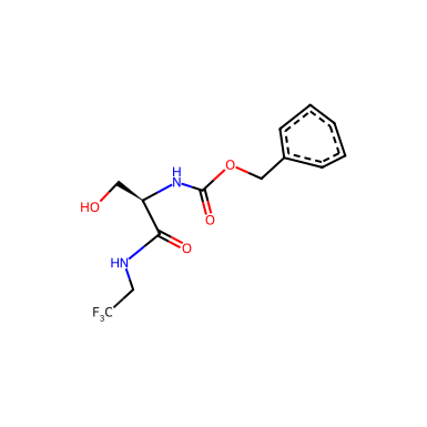 O=C(N[C@H](CO)C(=O)NCC(F)(F)F)OCc1ccccc1